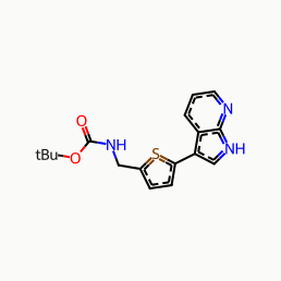 CC(C)(C)OC(=O)NCc1ccc(-c2c[nH]c3ncccc23)s1